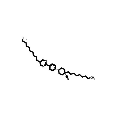 CCCCCCCCCCc1cnc(-c2ccc([C@H]3CC[C@@](C#N)(CCCCCCCCC)CC3)cc2)nc1